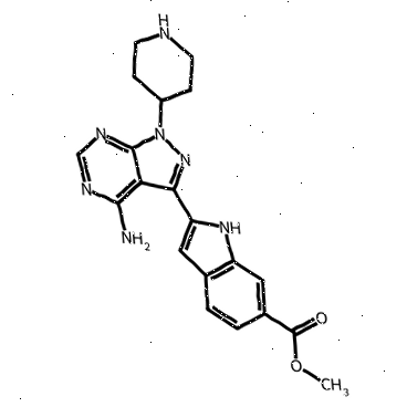 COC(=O)c1ccc2cc(-c3nn(C4CCNCC4)c4ncnc(N)c34)[nH]c2c1